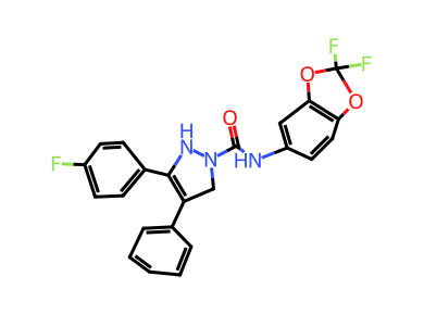 O=C(Nc1ccc2c(c1)OC(F)(F)O2)N1CC(c2ccccc2)=C(c2ccc(F)cc2)N1